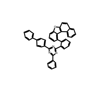 c1ccc(-c2ccc(-c3nc(-c4ccccc4)nc(-c4ccccc4-c4cccc5oc6ccc7ccccc7c6c45)n3)cc2)cc1